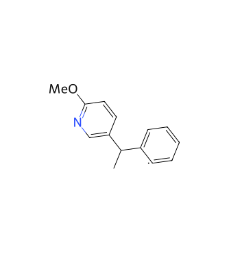 COc1ccc(C(C)c2[c]cccc2)cn1